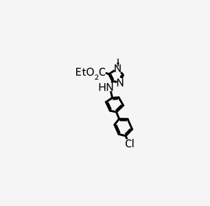 CCOC(=O)c1c(Nc2ccc(-c3ccc(Cl)cc3)cc2)ncn1I